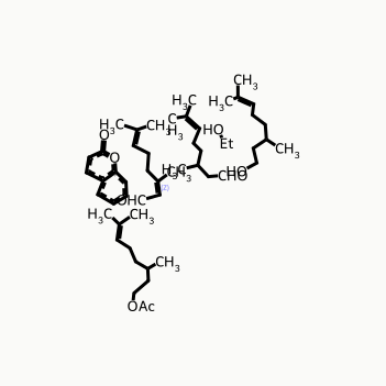 CC(=O)OCCC(C)CCC=C(C)C.CC(C)=CCC/C(C)=C\C=O.CC(C)=CCCC(C)CC=O.CC(C)=CCCC(C)CCO.CCO.O=c1ccc2ccccc2o1